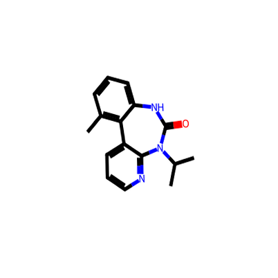 Cc1cccc2c1-c1cccnc1N(C(C)C)C(=O)N2